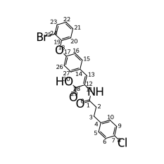 O=C(CCc1ccc(Cl)cc1)N/C(=C/c1ccc(Oc2ccccc2Br)cc1)C(=O)O